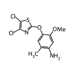 COc1cc(N)c(C)cc1Oc1nc(Cl)c(Cl)s1